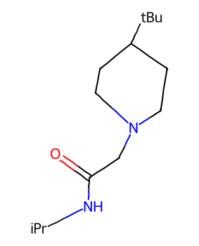 CC(C)NC(=O)CN1CCC(C(C)(C)C)CC1